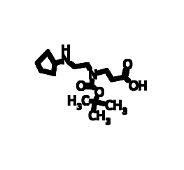 CC(C)(C)OC(=O)N(CCNC1CCCC1)CCC(=O)O